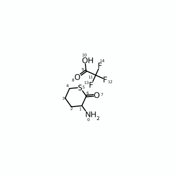 NC1CCCSC1=O.O=C(O)C(F)(F)F